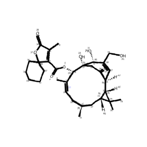 CC1=C(C(=O)O[C@H]2/C(C)=C\C[C@H](C)C[C@@H]3[C@H]([C@@H]4C=C(CO)[C@@H](O)[C@@]2(O)CC4=O)C3(C)C)C2(CCCCC2)OC1=O